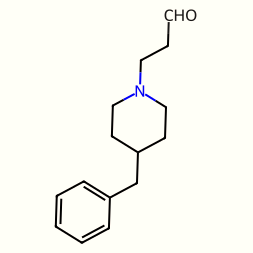 O=CCCN1CCC(Cc2ccccc2)CC1